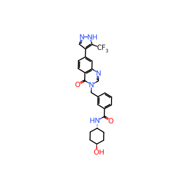 O=C(N[C@H]1CC[C@H](O)CC1)c1cccc(Cn2cnc3cc(-c4cn[nH]c4C(F)(F)F)ccc3c2=O)c1